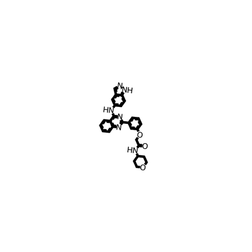 O=C(COc1cccc(-c2nc(Nc3ccc4[nH]ncc4c3)c3ccccc3n2)c1)NC1CCOCC1